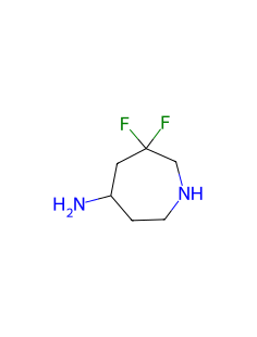 NC1CCNCC(F)(F)C1